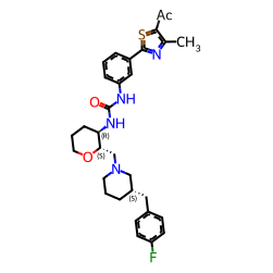 CC(=O)c1sc(-c2cccc(NC(=O)N[C@@H]3CCCO[C@H]3CN3CCC[C@@H](Cc4ccc(F)cc4)C3)c2)nc1C